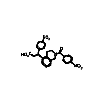 O=C(O)CC(c1ccc([N+](=O)[O-])cc1)c1cccc2c1CCN(C(=O)c1ccc([N+](=O)[O-])cc1)C2